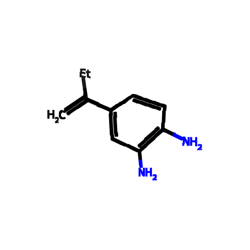 C=C(CC)c1ccc(N)c(N)c1